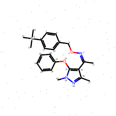 CC(=NOCc1ccc([Si](C)(C)C)cc1)c1c(C)nn(C)c1Oc1ccccc1